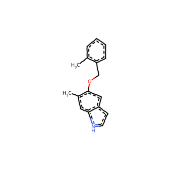 Cc1ccccc1COc1cc2cc[nH]c2cc1C